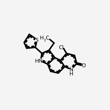 CCc1c(-c2cccs2)[nH]c2ccc3[nH]c(=O)cc(Cl)c3c12